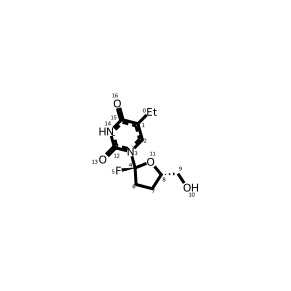 CCc1cn([C@@]2(F)CC[C@@H](CO)O2)c(=O)[nH]c1=O